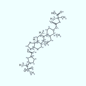 C[C@H]1C(OC(=O)CC(C)(C)C(=O)O)CC[C@@]2(C)C1CC[C@@]1(C)C3CC[C@@]4(CC(=O)N5CC[C@@H](N(C)S(C)(=O)=O)C5)CCCC4[C@H]3CCC21